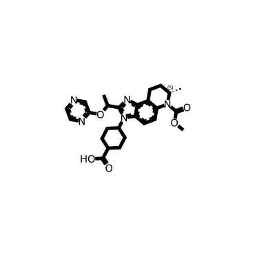 COC(=O)N1c2ccc3c(nc(C(C)Oc4cnccn4)n3C3CCC(C(=O)O)CC3)c2CC[C@@H]1C